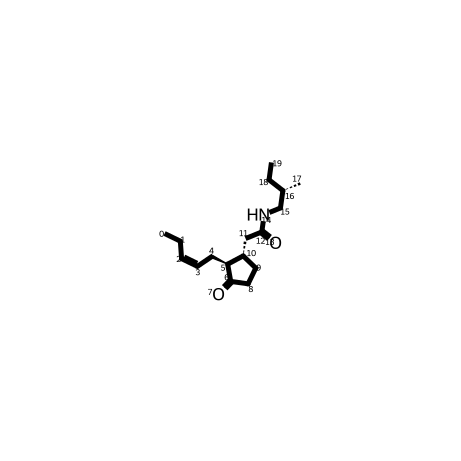 CC/C=C\C[C@@H]1C(=O)CC[C@H]1CC(=O)NC[C@@H](C)CC